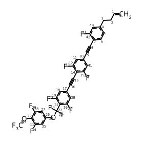 C=CCCc1ccc(C#Cc2cc(F)c(C#Cc3cc(F)c(C(F)(F)Oc4cc(F)c(OC(F)(F)F)c(F)c4)c(F)c3)c(F)c2)c(F)c1